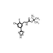 CC(C)(C)OC(=O)NCc1cc(-c2nn[nH]n2)cc(Cl)c1F